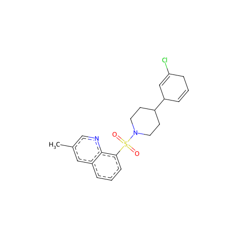 Cc1cnc2c(S(=O)(=O)N3CCC(C4C=CCC(Cl)=C4)CC3)cccc2c1